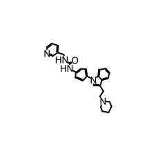 O=C(NCc1cccnc1)Nc1ccc(-n2cc(CCN3CCCCC3)c3ccccc32)cc1